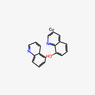 Oc1cccc2cccnc12.[Cu].c1ccc2ncccc2c1